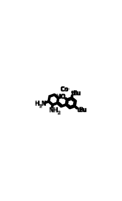 CC(C)(C)c1cc(C=C2CCCC(N)C2N)c(O)c(C(C)(C)C)c1.[Co]